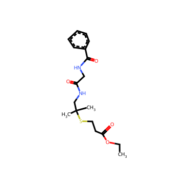 CCOC(=O)CCSC(C)(C)CNC(=O)CNC(=O)c1ccccc1